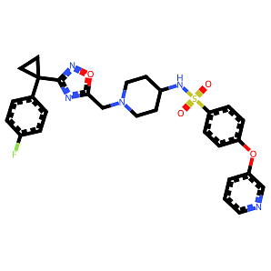 O=S(=O)(NC1CCN(Cc2nc(C3(c4ccc(F)cc4)CC3)no2)CC1)c1ccc(Oc2cccnc2)cc1